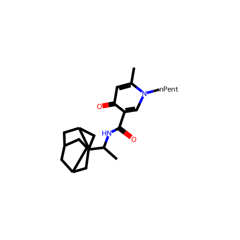 CCCCCn1cc(C(=O)NC(C)C23CC4CC(CC(C4)C2)C3)c(=O)cc1C